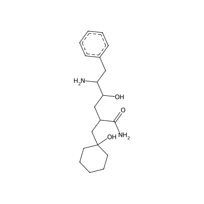 NC(=O)C(CC(O)C(N)Cc1ccccc1)CC1(O)CCCCC1